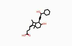 CC1/C(=C/CCC(=O)O)C2(C)CCC(O)C(C#CC(O)C3CCCCC3)C12